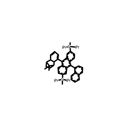 CC(C)[Si](C)(c1ccc2c(-c3cccc4ccccc34)c3cc([Si](C)(C(C)C)C(C)C)ccc3c(C3=CC=CC4C3C3CCC4C3(C)C)c2c1)C(C)C